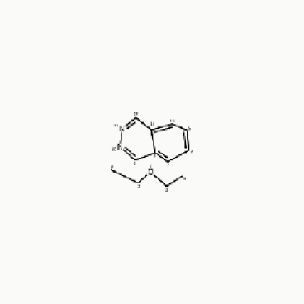 CCOCC.c1ccc2cnncc2c1